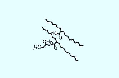 CCCCCCCCCC(CCCCCCC)C(=O)O.CCCCCCCCCC(CCCCCCC)C(=O)OCC(O)CO